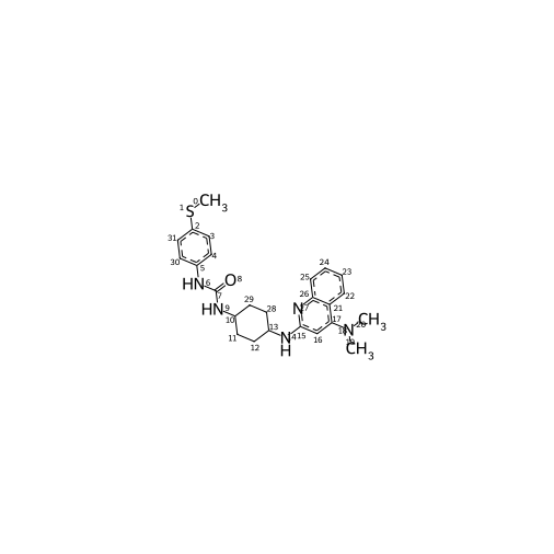 CSc1ccc(NC(=O)NC2CCC(Nc3cc(N(C)C)c4ccccc4n3)CC2)cc1